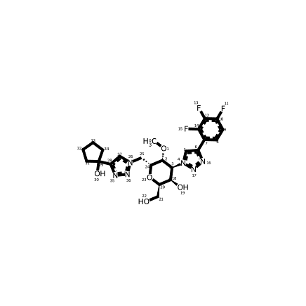 CO[C@@H]1[C@@H](n2cc(-c3ccc(F)c(F)c3F)nn2)[C@@H](O)[C@@H](CO)O[C@@H]1Cn1cc(C2(O)CCCC2)nn1